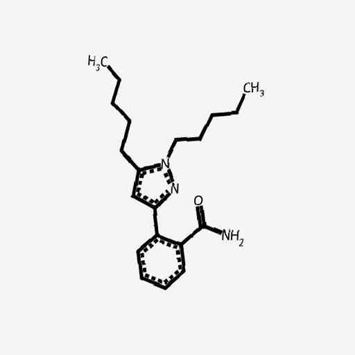 CCCCCc1cc(-c2ccccc2C(N)=O)nn1CCCCC